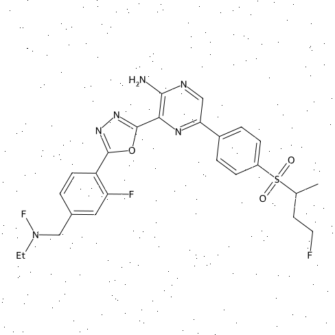 CCN(F)Cc1ccc(-c2nnc(-c3nc(-c4ccc(S(=O)(=O)C(C)CCF)cc4)cnc3N)o2)c(F)c1